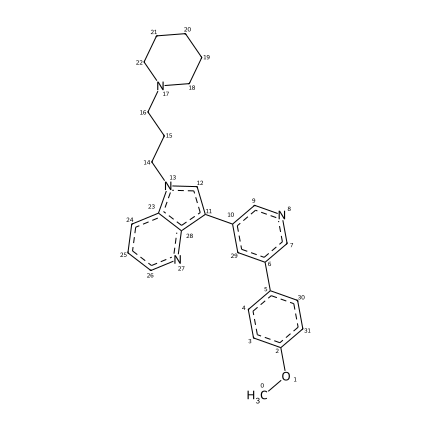 COc1ccc(-c2cncc(-c3cn(CCCN4CCCCC4)c4cccnc34)c2)cc1